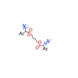 CC(=O)C(=[N+]=[N-])C(=O)OCCCCOC(=O)C(=[N+]=[N-])C(C)=O